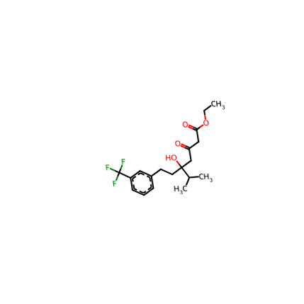 CCOC(=O)CC(=O)CC(O)(CCc1cccc(C(F)(F)F)c1)C(C)C